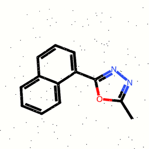 Cc1nnc(-c2cccc3ccccc23)o1